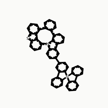 c1ccc2c(c1)-c1ccccc1[Si]21c2ccccc2-c2cc(-c3ccc4c(c3)c3cccc5c6ccccc6c6cccc7sc8cccc(c8c76)n4c53)ccc21